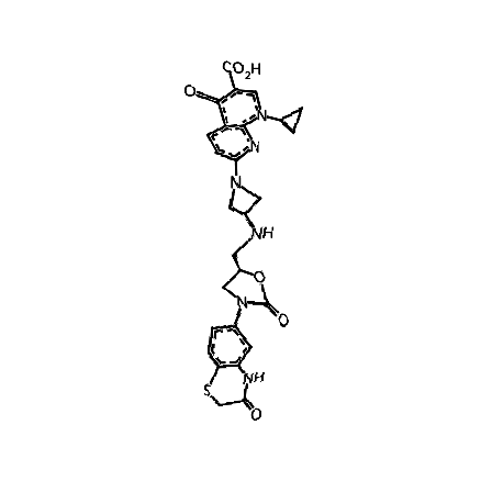 O=C1CSc2ccc(N3C[C@@H](CNC4CN(c5ccc6c(=O)c(C(=O)O)cn(C7CC7)c6n5)C4)OC3=O)cc2N1